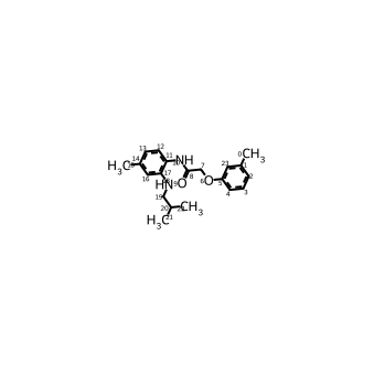 Cc1cccc(OCC(=O)Nc2ccc(C)cc2NCC(C)C)c1